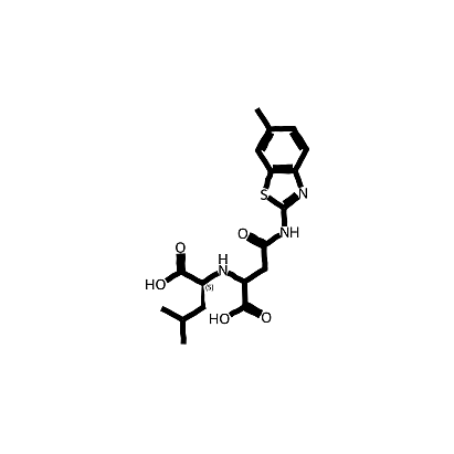 Cc1ccc2nc(NC(=O)CC(N[C@@H](CC(C)C)C(=O)O)C(=O)O)sc2c1